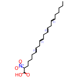 CCCCC/C=C/C/C=C/C/C=C/C/C=C/CCCCC(C(=O)O)[N+](=O)[O-]